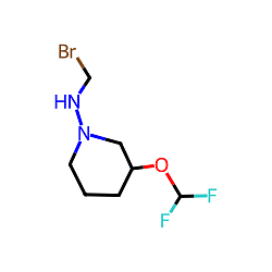 FC(F)OC1CCCN(NCBr)C1